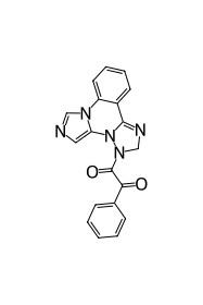 O=C(C(=O)N1CN=C2c3ccccc3-n3cncc3N21)c1ccccc1